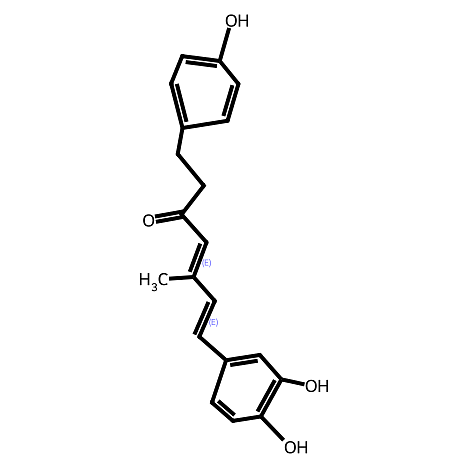 CC(/C=C/c1ccc(O)c(O)c1)=C\C(=O)CCc1ccc(O)cc1